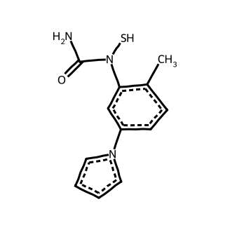 Cc1ccc(-n2cccc2)cc1N(S)C(N)=O